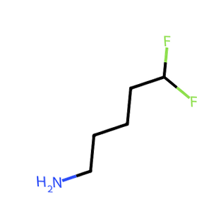 NCCCCC(F)F